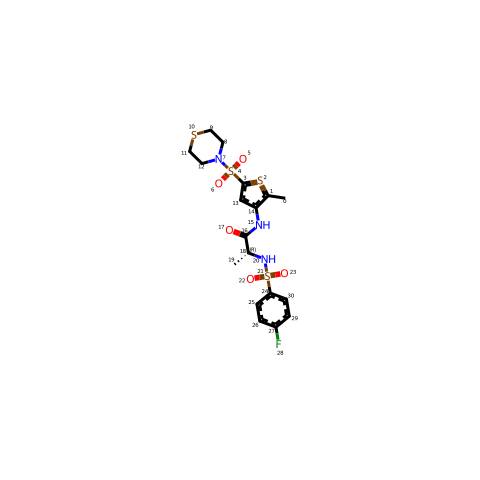 Cc1sc(S(=O)(=O)N2CCSCC2)cc1NC(=O)[C@@H](C)NS(=O)(=O)c1ccc(F)cc1